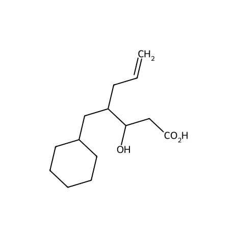 C=CCC(CC1CCCCC1)C(O)CC(=O)O